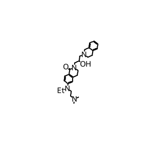 CCN(CCN(C)C)c1ccc2c(c1)CCN(CC(O)CN1CCc3ccccc3C1)C2=O